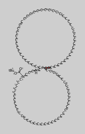 CC(C)(C)OC(=O)N1CCCCCCCCCCCCCCCCCCCCCCCCCCCCCCCCCCCCCCCCC2(CCCCCCCCCCCCCCCCCCCCCCCCCCCCCCCCCCCCCCCCCCCCCC23OCCO3)CNCCC1